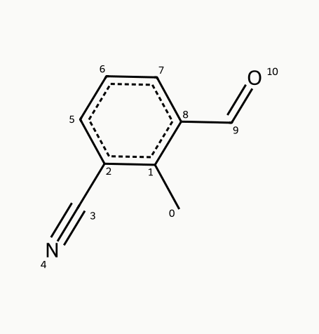 Cc1c(C#N)cccc1C=O